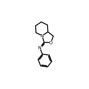 c1ccc(N=C2OCC3CCCCN23)cc1